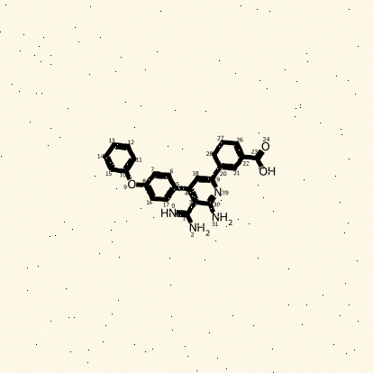 N=C(N)c1c(-c2ccc(Oc3ccccc3)cc2)cc(C2=CC(C(=O)O)=CCC2)nc1N